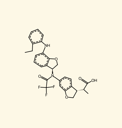 CCc1ccccc1Nc1cccc2c1OC[C@H]2N(C(=O)C(F)(F)F)c1ccc2c(c1)OC[C@H]2C(C)C(=O)O